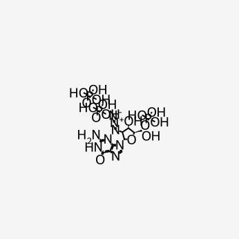 O=P(O)(O)O.O=P(O)(O)O.O=P(O)(O)O.[N-]=[N+]=NC1[C@H](n2cnc3c(=O)[nH]c(N)nc32)O[C@H](CO)[C@H]1O